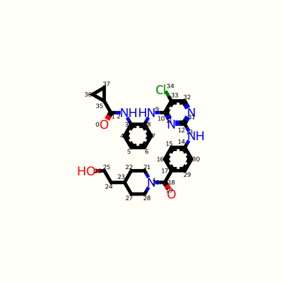 O=C(Nc1ccccc1Nc1nc(Nc2ccc(C(=O)N3CCC(CCO)CC3)cc2)ncc1Cl)C1CC1